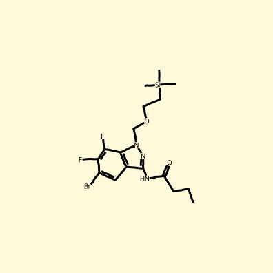 CCCC(=O)Nc1nn(COCC[Si](C)(C)C)c2c(F)c(F)c(Br)cc12